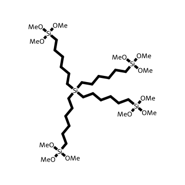 CO[Si](CCCCCC[Si](CCCCCC[Si](OC)(OC)OC)(CCCCCC[Si](OC)(OC)OC)CCCCCC[Si](OC)(OC)OC)(OC)OC